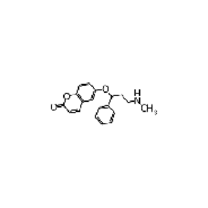 CNCCC(Oc1ccc2oc(=O)ccc2c1)c1ccccc1